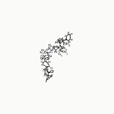 CN[C@H](C(=O)NC(C(=O)N(C)[C@H](/C=C(\C)C(=O)NS(=O)(=O)c1ccc(NC(=O)C(F)(F)F)cc1)C(C)C)C(C)(C)C)C(C)(C)c1ccccc1